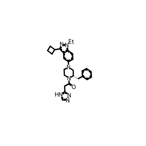 CCn1nc(C2CCC2)c2cc(N3CCN(C(=O)Cc4nnc[nH]4)[C@@H](Cc4ccccc4)C3)ccc21